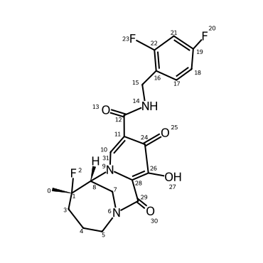 C[C@]1(F)CCCN2C[C@H]1n1cc(C(=O)NCc3ccc(F)cc3F)c(=O)c(O)c1C2=O